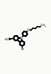 C#Cc1ccc2c(c1)c1cc(Br)ccc1n2-c1ccc(OCCCCCC)cc1